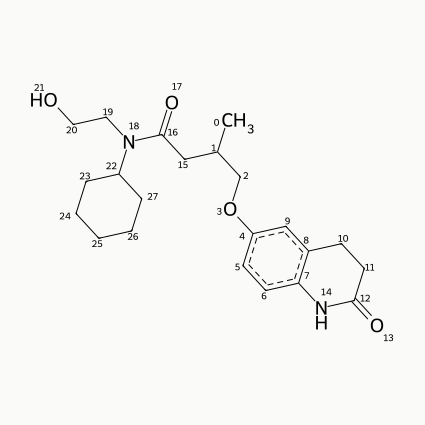 CC(COc1ccc2c(c1)CCC(=O)N2)CC(=O)N(CCO)C1CCCCC1